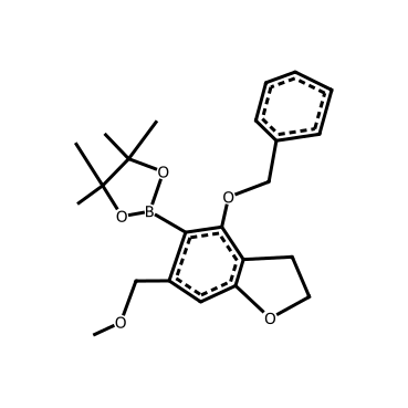 COCc1cc2c(c(OCc3ccccc3)c1B1OC(C)(C)C(C)(C)O1)CCO2